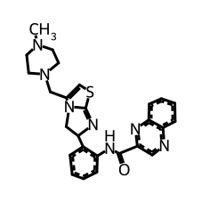 CN1CCN(CC2=CSC3=NC(c4ccccc4NC(=O)c4cnc5ccccc5n4)CN23)CC1